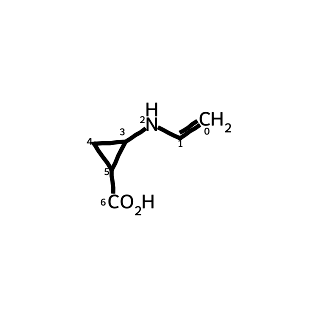 C=CNC1CC1C(=O)O